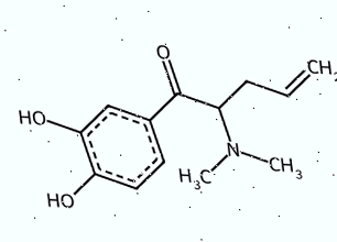 C=CCC(C(=O)c1ccc(O)c(O)c1)N(C)C